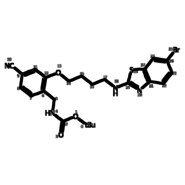 CC(C)(C)OC(=O)NCc1ccc(C#N)cc1OCCCCNc1nc2ccc(Br)cc2s1